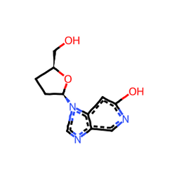 OC[C@@H]1CC[C@H](n2cnc3cnc(O)cc32)O1